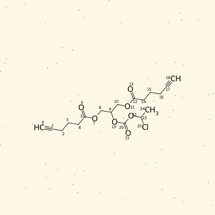 C#CCCCC(=O)OCC(COC(=O)CCCC#C)OC(=O)OC(C)Cl